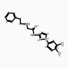 O=C(CNCCc1ccccc1)Nc1ccn(-c2ccc(Cl)c(Cl)c2)n1